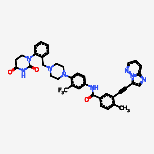 Cc1ccc(C(=O)Nc2ccc(N3CCN(Cc4ccccc4N4CCC(=O)NC4=O)CC3)c(C(F)(F)F)c2)cc1C#Cc1cnc2cccnn12